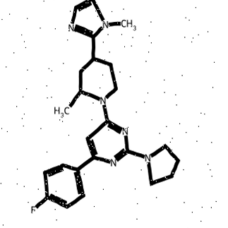 CC1CC(c2nccn2C)CCN1c1cc(-c2ccc(F)cc2)nc(N2CCCC2)n1